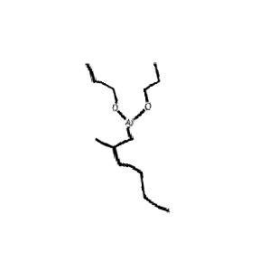 CCCCC(C)[CH2][Al]([O]CCC)[O]CCC